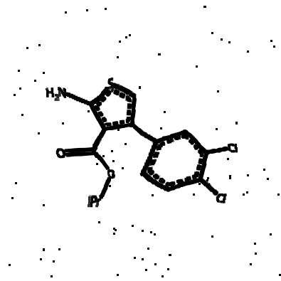 CC(C)OC(=O)c1c(-c2ccc(Cl)c(Cl)c2)csc1N